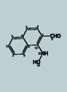 O=Cc1ccc2ccccc2c1NO